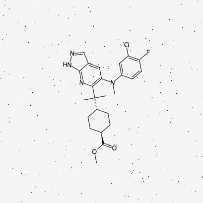 COC(=O)[C@H]1CC[C@H](C(C)(C)c2nc3[nH]ncc3cc2N(C)c2ccc(F)c(Cl)c2)CC1